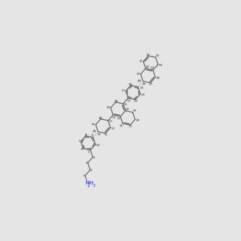 NCCCCc1cccc([C@H]2C=CC(C3=C4C=CCCC4=C(c4ccc([C@H]5C=CC6=C(C=CCC6)C5)cc4)CC3)CC2)c1